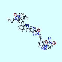 CC(C)c1cc(-c2cccc3cc(-c4ccc(C(=O)NCC#Cc5ccc6nnn(C7CCC(=O)NC7=O)c6c5)nc4)ncc23)cc2c1n(C)c(=O)n2C